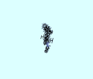 C=N/C(=C\C=C(/C)N1CCN(C2COC2)CC1)Nc1cc(-c2cncc(N3CCn4c(cc5c4CCCC5)C3=O)c2CO)cn(C)c1=O